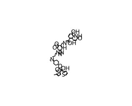 Cc1ccc([C@@](O)(C(=O)O[C@H]2CC[C@H](N(C)CCCn3nnc4cc(CNC[C@H](O)c5ccc(O)c6[nH]c(=O)ccc56)c5c(c43)OCO5)CC2)c2cccs2)s1